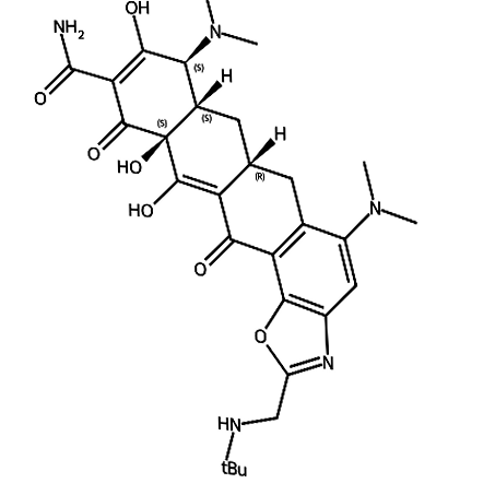 CN(C)c1cc2nc(CNC(C)(C)C)oc2c2c1C[C@H]1C[C@H]3[C@H](N(C)C)C(O)=C(C(N)=O)C(=O)[C@@]3(O)C(O)=C1C2=O